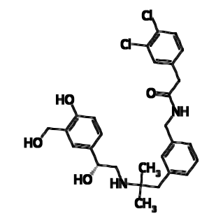 CC(C)(Cc1cccc(CNC(=O)Cc2ccc(Cl)c(Cl)c2)c1)NC[C@H](O)c1ccc(O)c(CO)c1